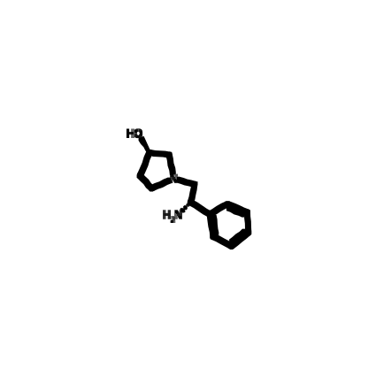 N[C@H](CN1CC[C@@H](O)C1)c1ccccc1